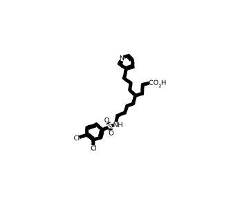 O=C(O)CCC(CCCCNS(=O)(=O)c1ccc(Cl)c(Cl)c1)CCCc1cccnc1